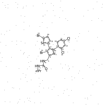 CCCNC(=O)NCc1nn(-c2ccc(Cl)cc2Cl)c(-c2ccc(Br)[se]2)c1Br